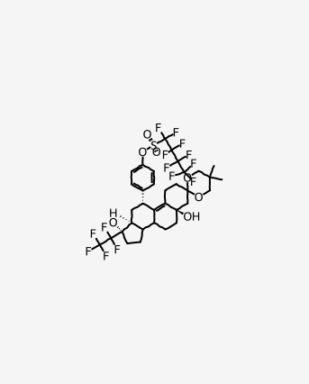 CC1(C)COC2(CCC3=C4C(CC[C@@]3(O)C2)C2CC[C@@](O)(C(F)(F)C(F)(F)F)[C@@]2(C)C[C@@H]4c2ccc(OS(=O)(=O)C(F)(F)C(F)(F)C(F)(F)C(F)(F)F)cc2)OC1